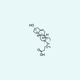 C[C@@H](CCC(=O)O)[C@H]1CC[C@H]2[C@@H]3CC=C4C[C@@H](O)CC[C@]4(C)[C@H]3CC[C@]12C